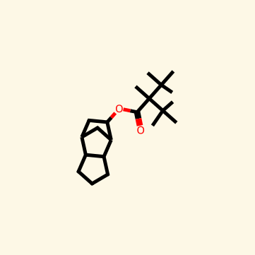 CC(C)(C)C(C)(C(=O)OC1CC2CC1C1CCCC21)C(C)(C)C